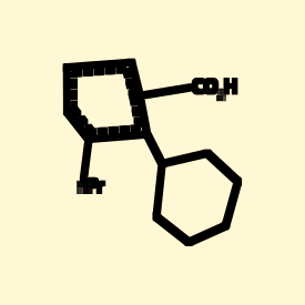 CCCc1cccc(C(=O)O)c1C1CCCCC1